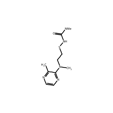 CNC(=O)NSCCN(C)c1nccnc1C